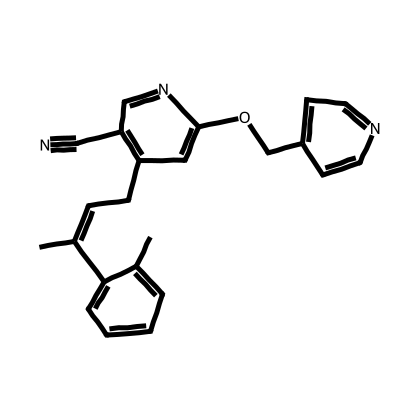 C/C(=C/Cc1cc(OCc2ccncc2)ncc1C#N)c1ccccc1C